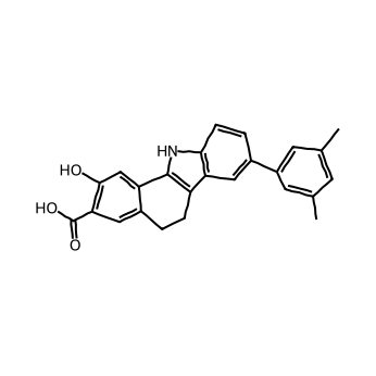 Cc1cc(C)cc(-c2ccc3[nH]c4c(c3c2)CCc2cc(C(=O)O)c(O)cc2-4)c1